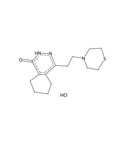 Cl.O=c1[nH]nc(CCN2CCSCC2)c2c1CCCC2